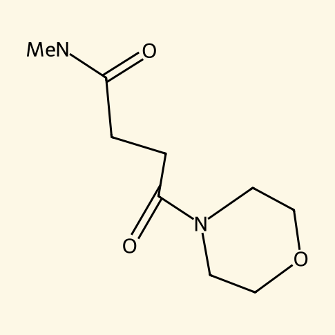 CNC(=O)CCC(=O)N1CCOCC1